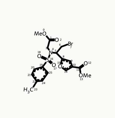 COC(=O)CN(C(CBr)c1cc(C(=O)OC)co1)S(=O)(=O)c1ccc(C)cc1